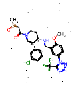 COc1ccc(-n2nnnc2C(F)(F)F)cc1CN[C@H]1CCN(C(=O)C[S+](C)[O-])C[C@H]1c1ccccc1.Cl